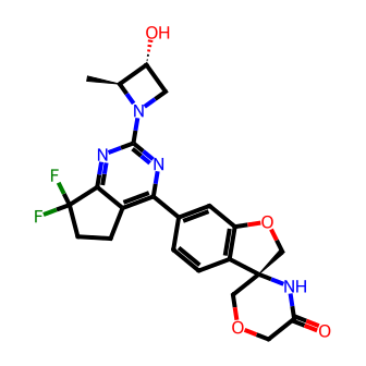 C[C@H]1[C@H](O)CN1c1nc(-c2ccc3c(c2)OC[C@@]32COCC(=O)N2)c2c(n1)C(F)(F)CC2